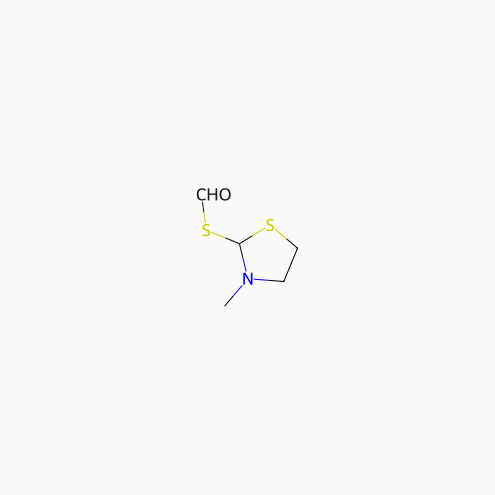 CN1CCSC1SC=O